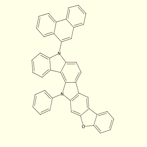 c1ccc(-n2c3cc4oc5ccccc5c4cc3c3ccc4c(c5ccccc5n4-c4cc5ccccc5c5ccccc45)c32)cc1